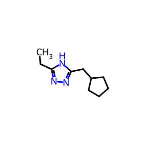 CCc1nnc(CC2CCCC2)[nH]1